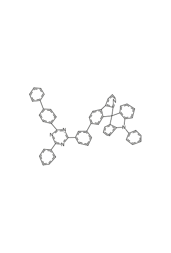 c1ccc(-c2ccc(-c3nc(-c4ccccc4)nc(-c4cccc(-c5ccc6c(c5)C5(c7ccccc7N(c7ccccc7)c7ccccc75)c5ncccc5-6)c4)n3)cc2)cc1